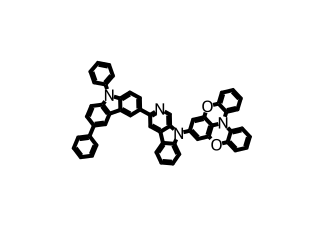 c1ccc(-c2ccc3c(c2)c2cc(-c4cc5c6ccccc6n(-c6cc7c8c(c6)Oc6ccccc6N8c6ccccc6O7)c5cn4)ccc2n3-c2ccccc2)cc1